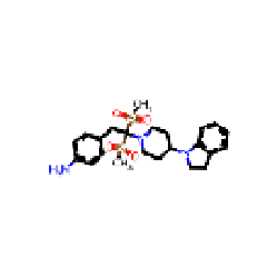 CS(=O)(=O)C(Cc1ccc(N)cc1)(N1CCC(N2CCc3ccccc32)CC1)S(C)(=O)=O